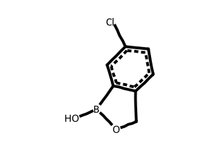 OB1OCc2ccc(Cl)cc21